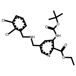 CCOC(=O)c1ncc(CNCc2cccc(Cl)c2Cl)cc1NC(=O)OC(C)(C)C